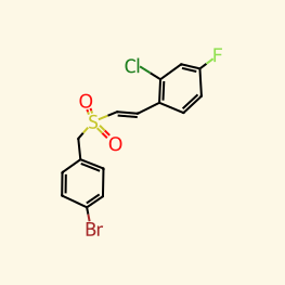 O=S(=O)(C=Cc1ccc(F)cc1Cl)Cc1ccc(Br)cc1